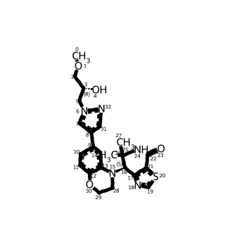 COC[C@H](O)Cn1cc(-c2ccc3c(c2)N([C@@H]2c4ncsc4C(=O)NC2(C)C)CCO3)cn1